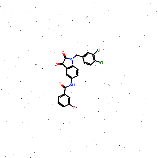 O=C(Nc1ccc2c(c1)C(=O)C(=O)N2Cc1ccc(Cl)c(Cl)c1)c1cccc(Br)c1